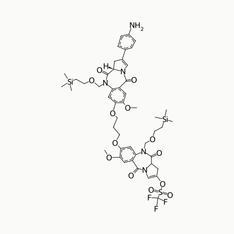 COc1cc2c(cc1OCCCOc1cc3c(cc1OC)C(=O)N1C=C(c4ccc(N)cc4)C[C@H]1C(=O)N3COCC[Si](C)(C)C)N(COCC[Si](C)(C)C)C(=O)C1CC(OS(=O)(=O)C(F)(F)F)=CN1C2=O